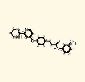 O=C(CCc1ccc(Oc2ccnc(C3=NCCCN3)c2)cc1)Nc1cccc(C(F)(F)F)c1